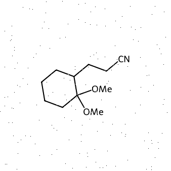 COC1(OC)CCCCC1CCC#N